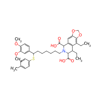 CCc1c2c(cc3c1C(CC)C(C(=O)O)N(CCCCCCC(Sc1ccc(C)cc1)c1ccc(OC)c(OC)c1)C3C(=O)O)OCO2